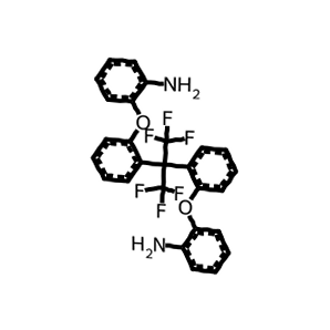 Nc1ccccc1Oc1ccccc1C(c1ccccc1Oc1ccccc1N)(C(F)(F)F)C(F)(F)F